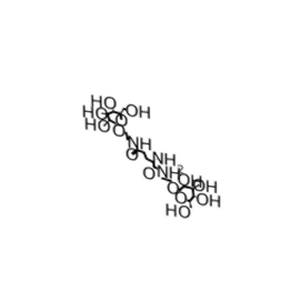 N[C@@H](CCC(=O)NCCO[C@H]1O[C@H](CO)[C@@H](O)[C@H](O)[C@@H]1O)C(=O)NCCO[C@H]1O[C@H](CO)[C@@H](O)[C@H](O)[C@@H]1O